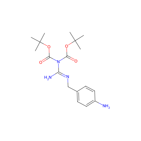 CC(C)(C)OC(=O)N(C(=O)OC(C)(C)C)/C(N)=N/Cc1ccc(N)cc1